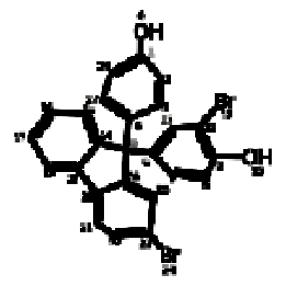 Oc1ccc(C2(c3ccc(O)c(Br)c3)c3ccccc3-c3ccc(Br)cc32)cc1